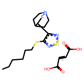 CCCCCCSc1nsnc1C1CN2CCC1CC2.O=C(O)/C=C/C(=O)O